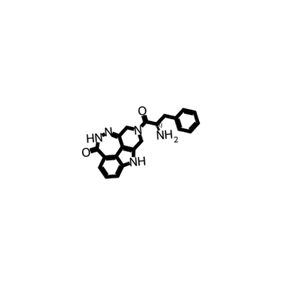 N[C@H](Cc1ccccc1)C(=O)N1CC2=NNC(=O)c3cccc4[nH]c(c2c34)C1